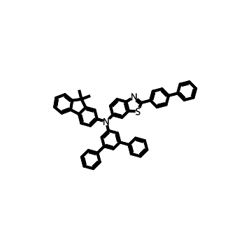 CC1(C)c2ccccc2-c2ccc(N(c3cc(-c4ccccc4)cc(-c4ccccc4)c3)c3ccc4nc(-c5ccc(-c6ccccc6)cc5)sc4c3)cc21